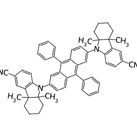 CC12CCCCC1(C)N(c1ccc3c(-c4ccccc4)c4cc(N5c6ccc(C#N)cc6C6(C)CCCCC56C)ccc4c(-c4ccccc4)c3c1)c1ccc(C#N)cc12